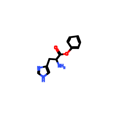 NC(Cc1c[nH]cn1)C(=O)Oc1ccccc1